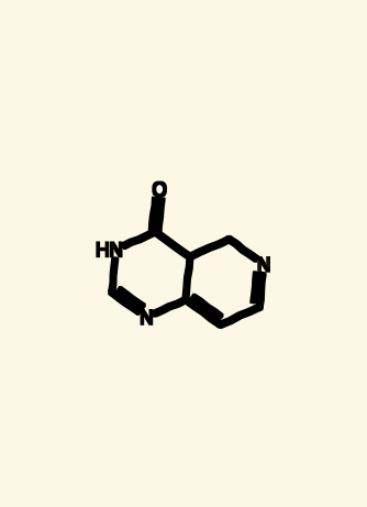 O=C1NC=NC2=CC=NCC12